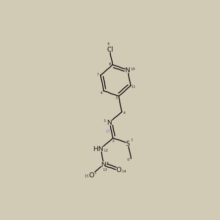 CS/C(=N\Cc1ccc(Cl)nc1)N[N+](=O)[O-]